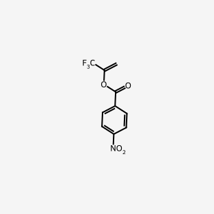 C=C(OC(=O)c1ccc([N+](=O)[O-])cc1)C(F)(F)F